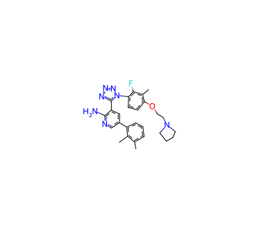 Cc1cccc(-c2cnc(N)c(-c3nnnn3-c3ccc(OCCN4CCCC4)c(C)c3F)c2)c1C